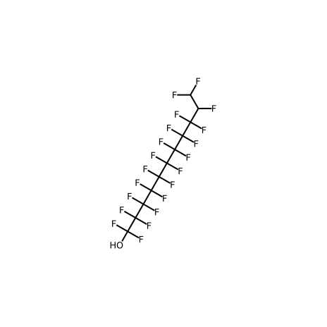 OC(F)(F)C(F)(F)C(F)(F)C(F)(F)C(F)(F)C(F)(F)C(F)(F)C(F)(F)C(F)(F)C(F)C(F)F